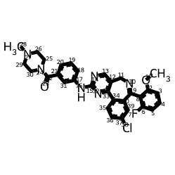 COc1cccc(F)c1C1=NCc2cnc(Nc3cccc(C(=O)N4CCN(C)CC4)c3)nc2-c2ccc(Cl)cc21